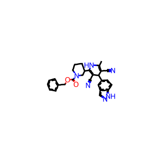 CC1=C(C#N)C(c2ccc3[nH]ncc3c2)C(C#N)=C(C2CCCN(C(=O)OCc3ccccc3)C2)N1